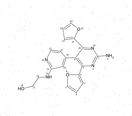 Nc1nc(-c2ccco2)c(-c2ccnc(NCCO)c2)c(-c2ccco2)n1